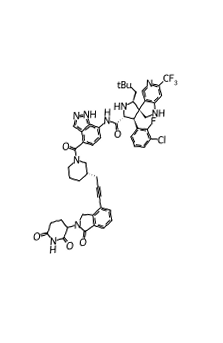 CC(C)(C)C[C@@H]1N[C@@H](C(=O)Nc2ccc(C(=O)N3CCC[C@@H](CC#Cc4cccc5c4CN(C4CCC(=O)NC4=O)C5=O)C3)c3cn[nH]c23)[C@H](c2cccc(Cl)c2F)[C@]12CNc1cc(C(F)(F)F)ncc12